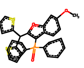 COc1ccc2c(P(=O)(c3ccccc3)c3ccccc3)c(C(c3cccs3)c3cccs3)oc2c1